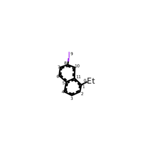 CCc1cccc2ccc(I)cc12